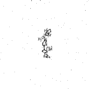 CN(c1ccc(-c2ccc(-n3cnnc3)cc2O)nn1)[C@@H]1C[C@H]2CC[C@@H](C1)N2